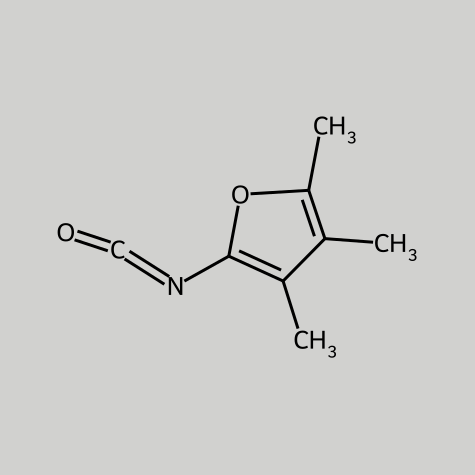 Cc1oc(N=C=O)c(C)c1C